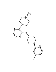 CC(=O)N1CCC(c2nccnc2OC2CCN(c3cc(C)ccn3)CC2)CC1